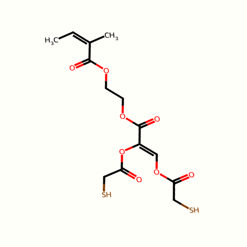 CC=C(C)C(=O)OCCOC(=O)C(=COC(=O)CS)OC(=O)CS